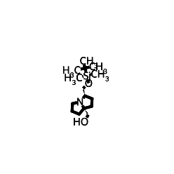 CC(C)(C)[Si](C)(C)OC[C@@H]1CC[C@@]2(CO)CCCN12